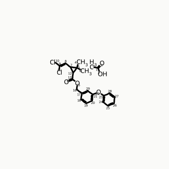 CC(=O)O.CC1(C)C(C=C(Cl)Cl)C1C(=O)OCc1cccc(Oc2ccccc2)c1